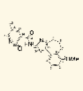 COc1cccc2c1CCCc1nc(NC(=O)c3cc(C)cnc3Cl)sc1-2